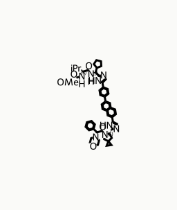 COC(=O)N[C@H](C(=O)N[C@H](c1ncc(-c2ccc(-c3ccc4cc(-c5cnc([C@@H]6CC7(CC7)CN6C(=O)C(c6ccccc6)N6CCOCC6)[nH]5)ccc4c3)cc2)[nH]1)C1CCCC1)C(C)C